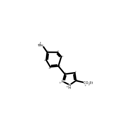 CCOC(=O)c1cc(-c2ccc(C(C)(C)C)cc2)n[nH]1